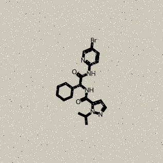 CC(C)n1nccc1C(=O)NC(C(=O)Nc1ccc(Br)cn1)C1CCCCC1